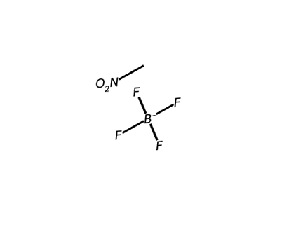 C[N+](=O)[O-].F[B-](F)(F)F